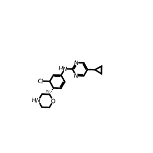 ClC1C=C(Nc2ncc(C3CC3)cn2)C=CC1[C@H]1CNCCO1